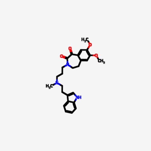 COc1cc2c(cc1OC)C(=O)C(=O)N(CCCN(C)CCc1c[nH]c3ccccc13)CC2